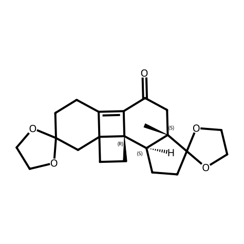 C[C@]12CC(=O)C3=C4CCC5(CC46CC[C@]36[C@@H]1CCC21OCCO1)OCCO5